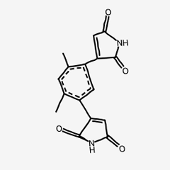 Cc1cc(C)c(C2=CC(=O)NC2=O)cc1C1=CC(=O)NC1=O